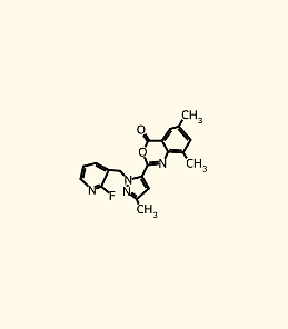 Cc1cc(C)c2nc(-c3cc(C)nn3Cc3cccnc3F)oc(=O)c2c1